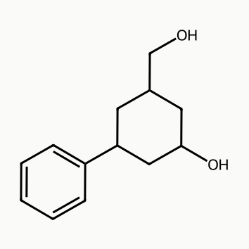 OCC1CC(O)CC(c2ccccc2)C1